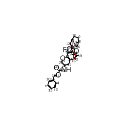 CC(C)(C)OC(=O)N1C2CCC1CN(c1ncc3c(c1F)OCC(NC(=O)OCc1ccccc1)C3)C2